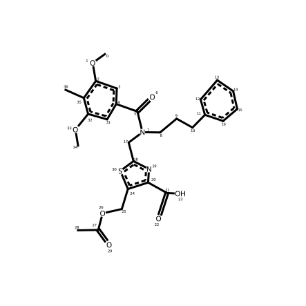 COc1cc(C(=O)N(CCCc2ccccc2)Cc2nc(C(=O)O)c(COC(C)=O)s2)cc(OC)c1C